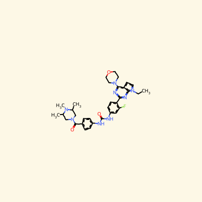 CCn1ccc2c(N3CCOCC3)nc(-c3ccc(NC(=O)Nc4ccc(C(=O)N5CC(C)N(C)C(C)C5)cc4)cc3F)nc21